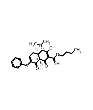 CCCCOC(=N)C1=C(O)[C@@H](N(C)C)[C@@H]2CC=C(Sc3ccccc3)C(=O)[C@]2(O)C1=O